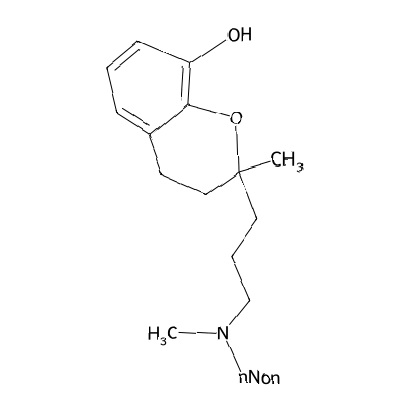 CCCCCCCCCN(C)CCCC1(C)CCc2cccc(O)c2O1